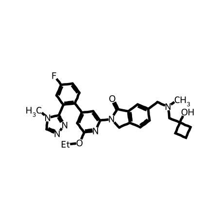 CCOc1cc(-c2ccc(F)cc2-c2nncn2C)cc(N2Cc3ccc(CN(C)CC4(O)CCC4)cc3C2=O)n1